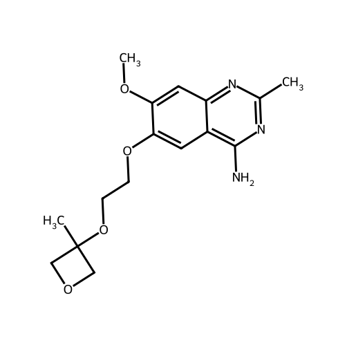 COc1cc2nc(C)nc(N)c2cc1OCCOC1(C)COC1